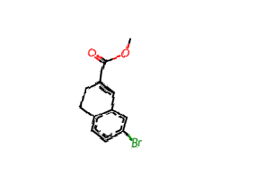 COC(=O)C1=Cc2cc(Br)ccc2CC1